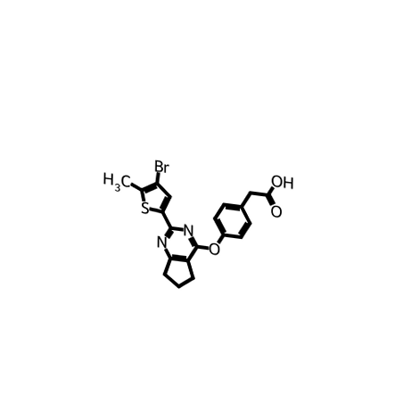 Cc1sc(-c2nc3c(c(Oc4ccc(CC(=O)O)cc4)n2)CCC3)cc1Br